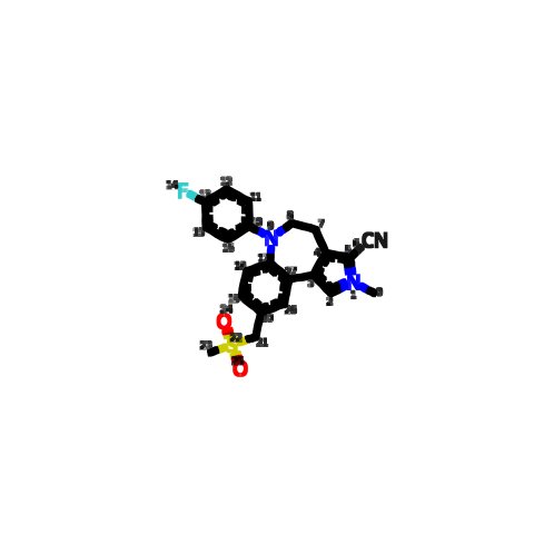 Cn1cc2c(c1C#N)CCN(c1ccc(F)cc1)c1ccc(CS(C)(=O)=O)cc1-2